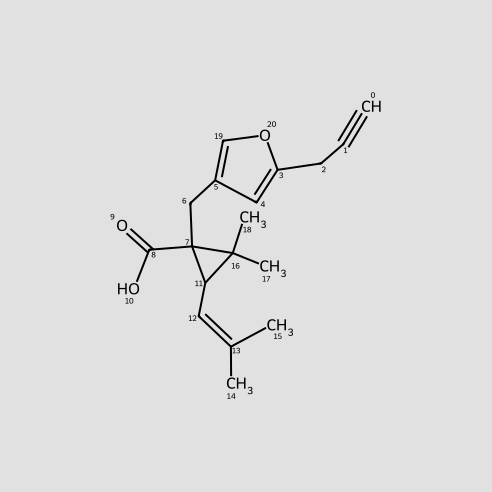 C#CCc1cc(CC2(C(=O)O)C(C=C(C)C)C2(C)C)co1